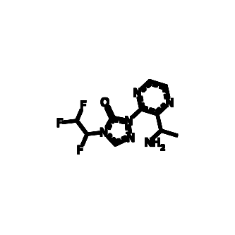 CC(N)c1nccnc1-n1ncn(C(F)C(F)F)c1=O